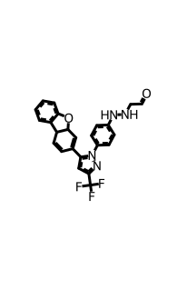 O=CCNNc1ccc(-n2nc(C(F)(F)F)cc2C2=CC3Oc4ccccc4C3C=C2)cc1